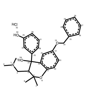 CN(C)CC1C(C)(C)Oc2ccc(OCc3ccccc3)cc2C1(O)c1cccc(O)c1.Cl